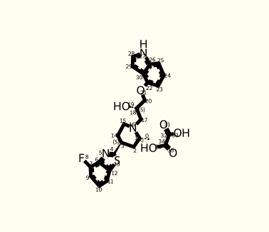 C[C@@H]1C[C@@H](c2nc3c(F)cccc3s2)CCN1C[C@H](O)COc1cccc2[nH]ccc12.O=C(O)C(=O)O